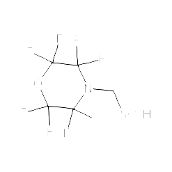 O=S(=O)(O)CN1C(F)(F)C(F)(F)OC(F)(F)C1(F)F